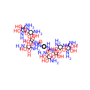 NCC1O[C@H](OC2C(N)C[C@@H](N)C(O)[C@H]2O[C@@H]2O[C@H](CNC(=O)Nc3ccc(NC(=O)NC[C@H]4O[C@@H](OC5C(O[C@@H]6OC(CN)C(O)[C@H](O)C6N)C(N)C[C@H](N)[C@@H]5O)C(O)C4O[C@@H]4O[C@H](CN)C(O)C(O)C4N)cc3)[C@H](O[C@H]3O[C@@H](CN)C(O)C(O)C3N)C2O)C(N)[C@@H](O)C1O